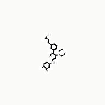 O=C(O)C=Cc1cccc(-c2cnc(Nc3ccc(F)c(Cl)c3)cc2N2CCOCC2)c1